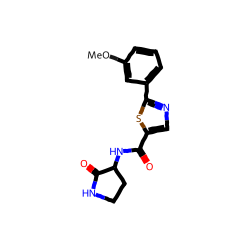 COc1cccc(-c2ncc(C(=O)NC3CCNC3=O)s2)c1